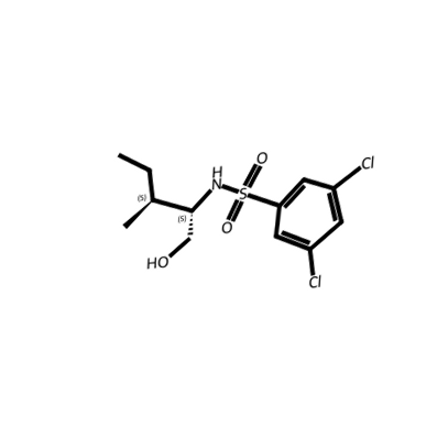 CC[C@H](C)[C@@H](CO)NS(=O)(=O)c1cc(Cl)cc(Cl)c1